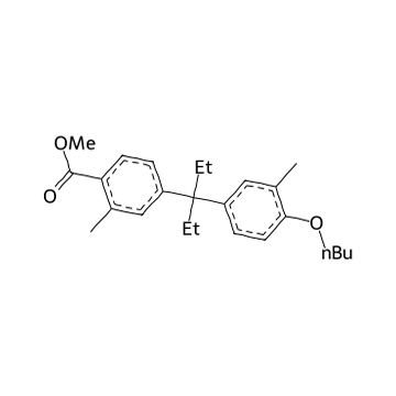 CCCCOc1ccc(C(CC)(CC)c2ccc(C(=O)OC)c(C)c2)cc1C